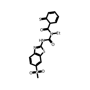 CCN(C(=O)Nc1nc2ccc(S(C)(=O)=O)cc2s1)C(=O)C1C=CC=CC1=S